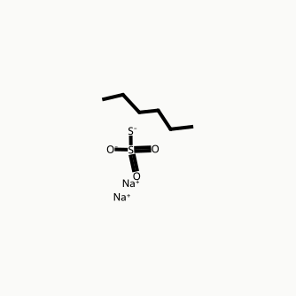 CCCCCC.O=S(=O)([O-])[S-].[Na+].[Na+]